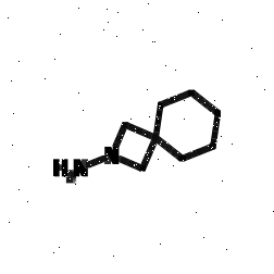 NN1CC2(CCCCC2)C1